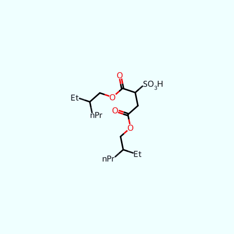 CCCC(CC)COC(=O)CC(C(=O)OCC(CC)CCC)S(=O)(=O)O